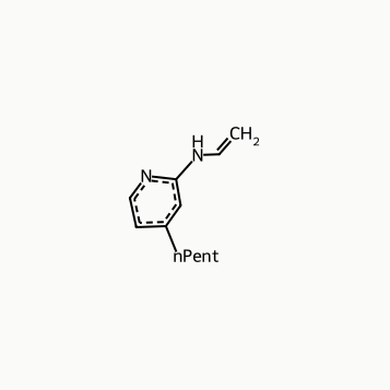 C=CNc1cc(CCCCC)ccn1